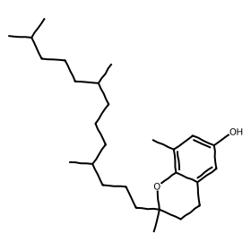 Cc1cc(O)cc2c1OC(C)(CCCC(C)CCCC(C)CCCC(C)C)CC2